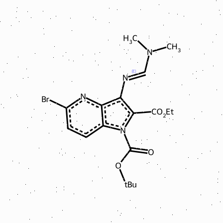 CCOC(=O)c1c(/N=C/N(C)C)c2nc(Br)ccc2n1C(=O)OC(C)(C)C